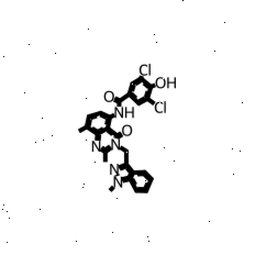 Cc1ccc(NC(=O)c2cc(Cl)c(O)c(Cl)c2)c2c(=O)n(Cc3nn(C)c4ccccc34)c(C)nc12